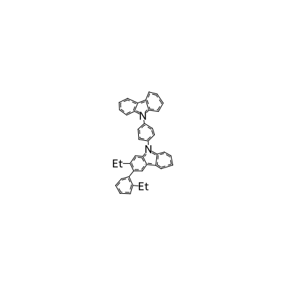 CCc1ccccc1-c1cc2c3ccccc3n(-c3ccc(-n4c5ccccc5c5ccccc54)cc3)c2cc1CC